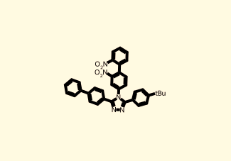 CC(C)(C)c1ccc(-c2nnc(-c3ccc(-c4ccccc4)cc3)n2-c2ccc(-c3ccccc3[N+](=O)[O-])c([N+](=O)[O-])c2)cc1